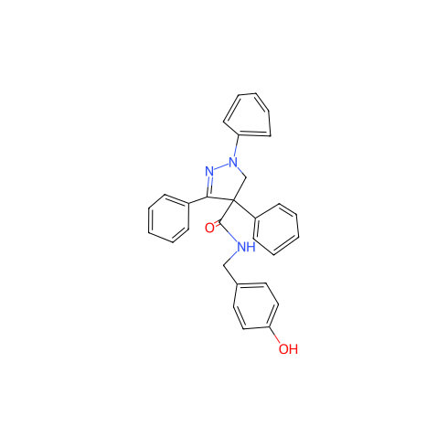 O=C(NCc1ccc(O)cc1)C1(c2ccccc2)CN(c2ccccc2)N=C1c1ccccc1